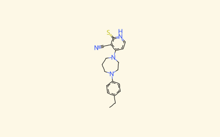 CCc1ccc(N2CCCN(c3cc[nH]c(=S)c3C#N)CC2)cc1